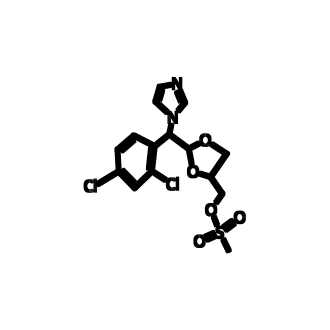 CS(=O)(=O)OCC1COC(C(c2ccc(Cl)cc2Cl)n2ccnc2)O1